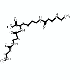 CCNCCC(=O)NCCCCC(NC(=O)CCNC(=O)CCNC)C(N)=O